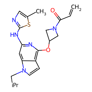 C=CC(=O)N1CC(Oc2nc(Nc3ncc(C)s3)cc3c2ccn3CC(C)C)C1